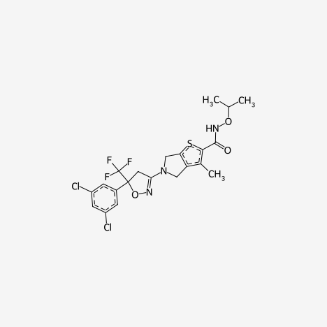 Cc1c(C(=O)NOC(C)C)sc2c1CN(C1=NOC(c3cc(Cl)cc(Cl)c3)(C(F)(F)F)C1)C2